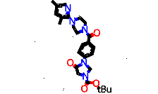 Cc1cnc(N2CCN(C(=O)c3ccc(N4CN(C(=O)OC(C)(C)C)CC4=O)cc3)CC2)c(C)c1